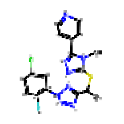 CC(Sc1nnc(-c2ccncc2)n1C)c1nnn(-c2cc(Cl)ccc2F)n1